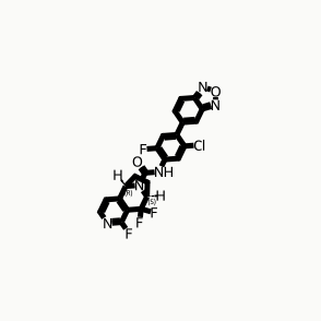 O=C(Nc1cc(Cl)c(-c2ccc3nonc3c2)cc1F)N1[C@@H]2CC[C@H]1C(F)(F)c1c2ccnc1F